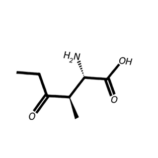 CCC(=O)[C@H](C)[C@H](N)C(=O)O